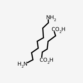 NCCCCCCCN.O=C(O)CCCCC(=O)O